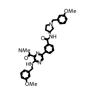 CNC(=O)c1nc(-c2cccc(C(=O)N[C@@H]3CCN(Cc4cccc(OC)c4)C3)c2)cnc1NCc1cccc(OC)c1